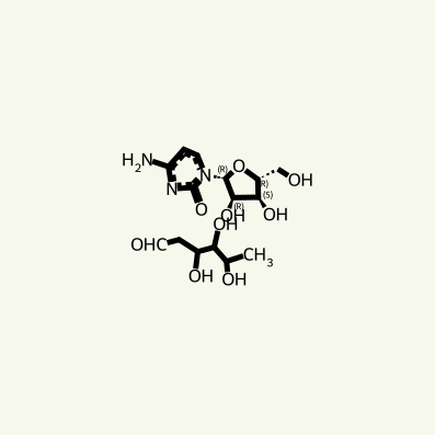 CC(O)C(O)C(O)CC=O.Nc1ccn([C@@H]2O[C@H](CO)[C@@H](O)[C@H]2O)c(=O)n1